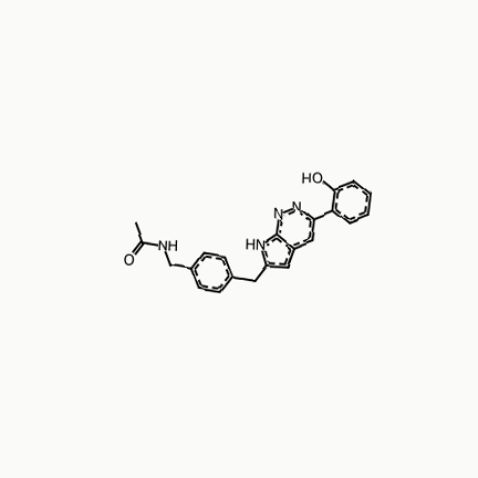 CC(=O)NCc1ccc(Cc2cc3cc(-c4ccccc4O)nnc3[nH]2)cc1